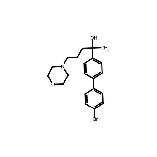 CC(O)(CCCN1CCOCC1)c1ccc(-c2ccc(Br)cc2)cc1